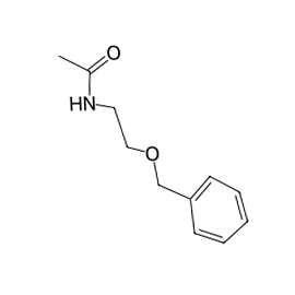 CC(=O)NCCOCc1ccccc1